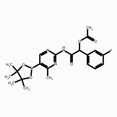 CC(=O)OC(C(=O)Nc1ncc(B2OC(C)(C)C(C)(C)O2)c(C)n1)c1cccc(F)c1